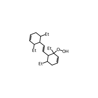 CCC1C=CCC(CC)C1/C=C/C1C(CC)CC=CC1(CC)OO